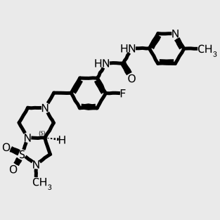 Cc1ccc(NC(=O)Nc2cc(CN3CCN4[C@@H](C3)CN(C)S4(=O)=O)ccc2F)cn1